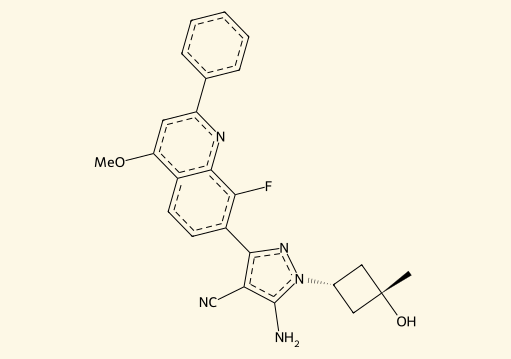 COc1cc(-c2ccccc2)nc2c(F)c(-c3nn([C@H]4C[C@@](C)(O)C4)c(N)c3C#N)ccc12